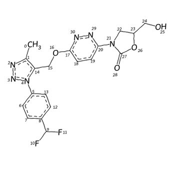 Cc1nnn(-c2ccc(C(F)F)cc2)c1COc1ccc(N2CC(CO)OC2=O)nn1